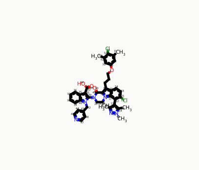 Cc1cc(OCCCc2c3n(c4c(-c5c(C)nn(C)c5C)c(Cl)ccc24)[C@H](C)CN(c2c(C(=O)O)c4ccccc4n2Cc2ccncc2)C3=O)cc(C)c1Cl